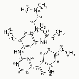 C=CC(=O)Nc1cc(Nc2nccc(-c3c[nH]c4cc(OC)ccc34)n2)c(OC)cc1N(C)CCN(C)C